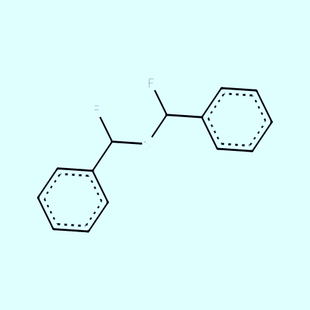 FC(SC(F)c1ccccc1)c1ccccc1